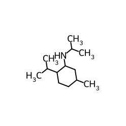 CC1CCC(C(C)C)C(NC(C)C)C1